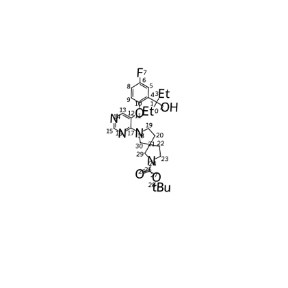 CCC(O)(CC)c1cc(F)ccc1Oc1cncnc1N1CCC2(CCN(C(=O)OC(C)(C)C)C2)C1